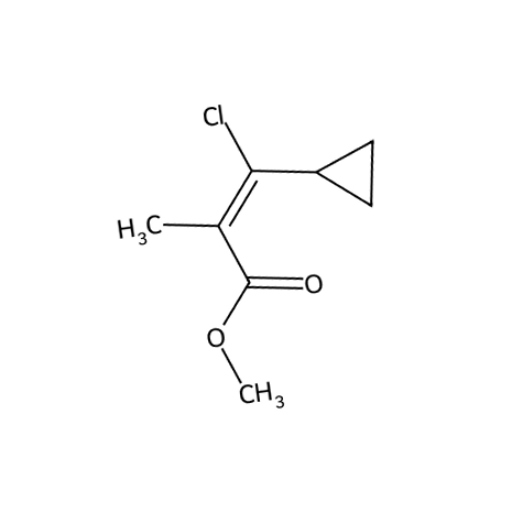 COC(=O)/C(C)=C(/Cl)C1CC1